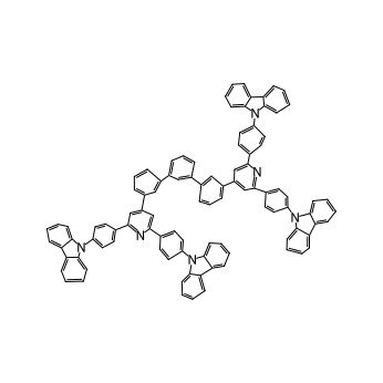 c1cc(-c2cccc(-c3cc(-c4ccc(-n5c6ccccc6c6ccccc65)cc4)nc(-c4ccc(-n5c6ccccc6c6ccccc65)cc4)c3)c2)cc(-c2cccc(-c3cc(-c4ccc(-n5c6ccccc6c6ccccc65)cc4)nc(-c4ccc(-n5c6ccccc6c6ccccc65)cc4)c3)c2)c1